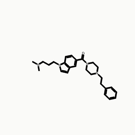 CN(C)CCCn1ccc2cc(C(=O)N3CCN(CCc4ccccc4)CC3)ccc21